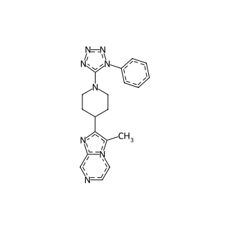 Cc1c(C2CCN(c3nnnn3-c3ccccc3)CC2)nc2cnccn12